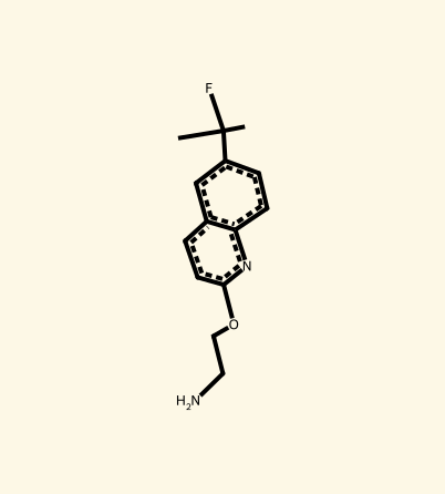 CC(C)(F)c1ccc2nc(OCCN)ccc2c1